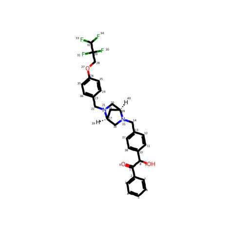 O=C(c1ccccc1)C(O)c1ccc(CN2C[C@@H]3C[C@H]2CN3Cc2ccc(OCC(F)(F)C(F)F)cc2)cc1